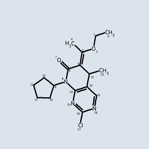 CCOC(C)=C1C(=O)N(C2CCCC2)c2nc(Cl)ncc2C1C